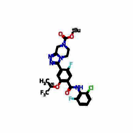 C[C@H](Oc1cc(-c2nnc3n2CCN(C(=O)OC(C)(C)C)C3)c(F)cc1C(=O)Nc1c(F)cccc1Cl)C(F)(F)F